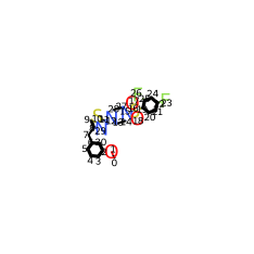 COc1cccc(Cc2csc(N3CCN(S(=O)(=O)c4ccc(F)cc4F)CC3)n2)c1